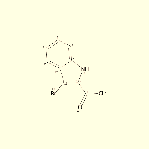 O=C(Cl)c1[nH]c2ccccc2c1Br